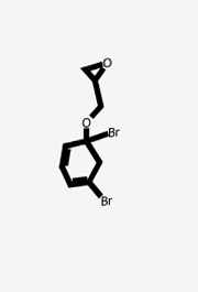 BrC1=CC=CC(Br)(OCC2CO2)C1